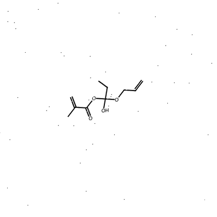 C=CCOC(O)(CC)OC(=O)C(=C)C